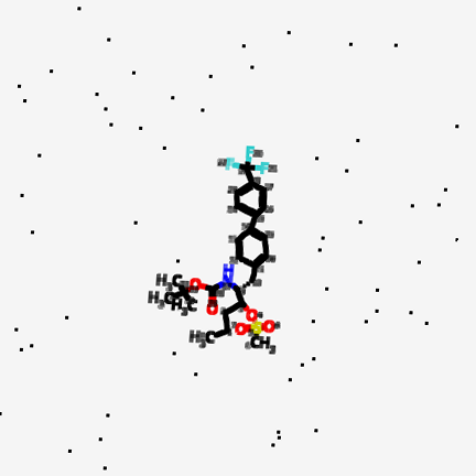 CCCC(OS(C)(=O)=O)[C@@H](Cc1ccc(-c2ccc(C(F)(F)F)cc2)cc1)NC(=O)OC(C)(C)C